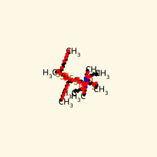 CCCCCCCCCCCCc1cc(C)sc1-c1cc2sc(-c3sc(-c4ccc(/C=C/C5=C6C(=C(/C=C/c7ccc(C)s7)C(=O)N6CC(CCCC)CCCCCC)N(CC(CCCC)CCCCCC)C5=O)s4)cc3CCCCCCCCCCCC)cc2s1